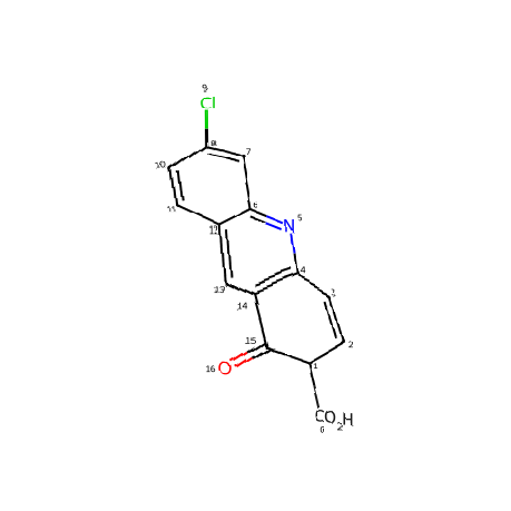 O=C(O)C1C=Cc2nc3cc(Cl)ccc3cc2C1=O